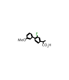 COc1cccc(-c2ccc(C(C)C(=O)O)cc2F)c1